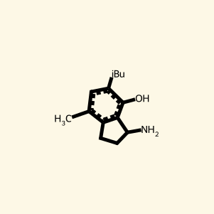 CCC(C)c1cc(C)c2c(c1O)C(N)CC2